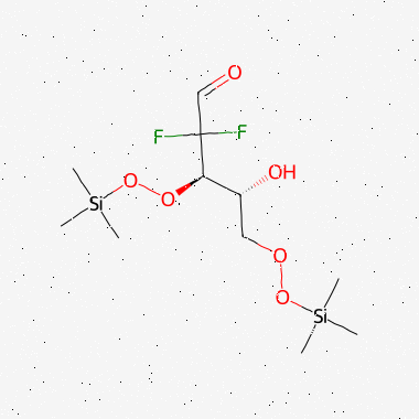 C[Si](C)(C)OOC[C@@H](O)[C@@H](OO[Si](C)(C)C)C(F)(F)C=O